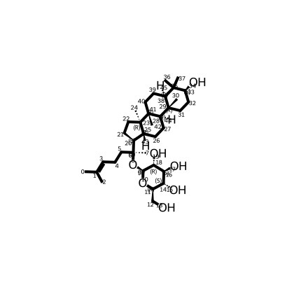 CC(C)=CCC[C@](C)(O[C@@H]1O[C@H](CO)[C@@H](O)[C@H](O)[C@H]1O)[C@H]1CC[C@]2(C)[C@@H]1CC[C@@H]1[C@@]3(C)CC[C@H](O)C(C)(C)[C@@H]3CC[C@]12C